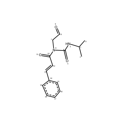 CC(C)NC(=O)N(C[C]=O)C(=O)/C=C/c1ccccc1